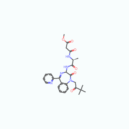 COC(=O)CC(=O)N[C@@H](C)C(=O)NC1N=C(c2ccccn2)c2ccccc2N(CC(=O)C(C)(C)C)C1=O